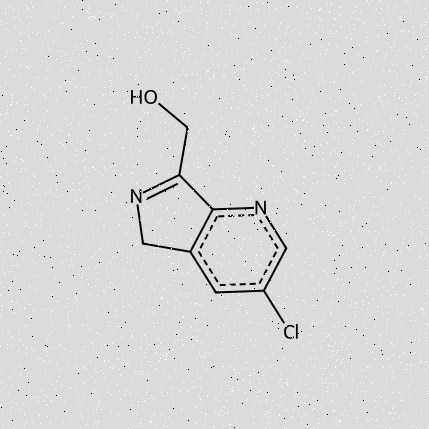 OCC1=NCc2cc(Cl)cnc21